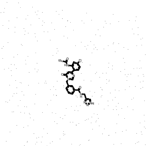 CC(C)(C)C(=O)Nc1cc(Cl)ccc1-c1cc(=O)n(Cc2cccc(C(=O)NCc3c[nH]nn3)c2)cn1